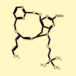 C/C=C/C=C1\C=N/C2Cc3c(nc(NC)nc3N2COCC[Si](C)(C)C)OCc2nccc(n2)CO1